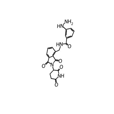 NNc1cccc(C(=O)NCc2cccc3c2C(=O)N(C2CCC(=O)NC2=O)C3=O)c1